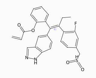 C=CC(=O)Oc1ccccc1/C(=C(\CC)c1ccc(C[SH](=O)=O)cc1F)c1ccc2[nH]ncc2c1